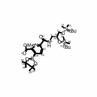 COC(=O)c1nc(C(=O)NC[C@@H](CO[Si](C)(C)C(C)(C)C)O[Si](C)(C)C(C)(C)C)ccc1B1OC(C)(C)C(C)(C)O1